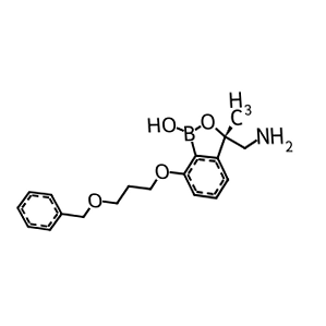 C[C@]1(CN)OB(O)c2c(OCCCOCc3ccccc3)cccc21